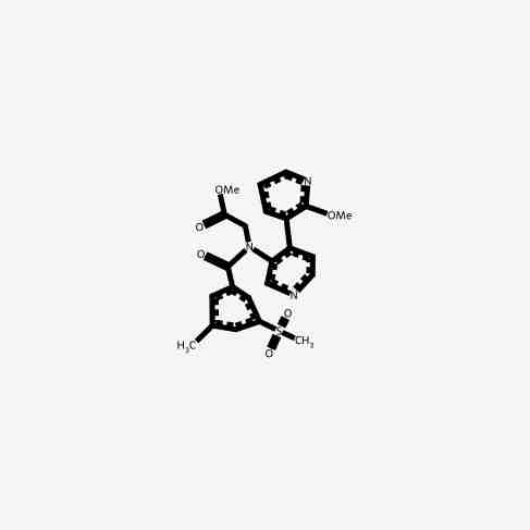 COC(=O)CN(C(=O)c1cc(C)cc(S(C)(=O)=O)c1)c1cnccc1-c1cccnc1OC